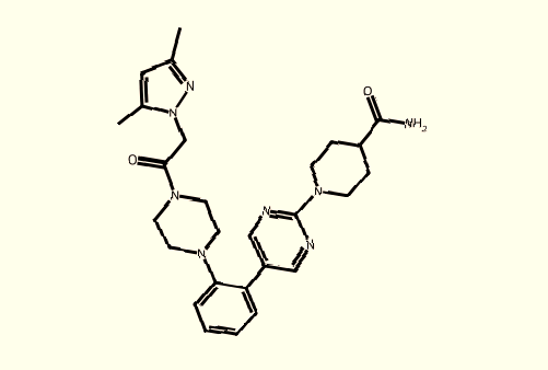 Cc1cc(C)n(CC(=O)N2CCN(c3ccccc3-c3cnc(N4CCC(C(N)=O)CC4)nc3)CC2)n1